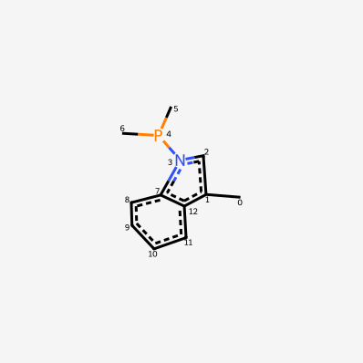 Cc1cn(P(C)C)c2ccccc12